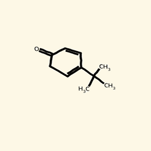 CC(C)(C)C1=CCC(=O)C=C1